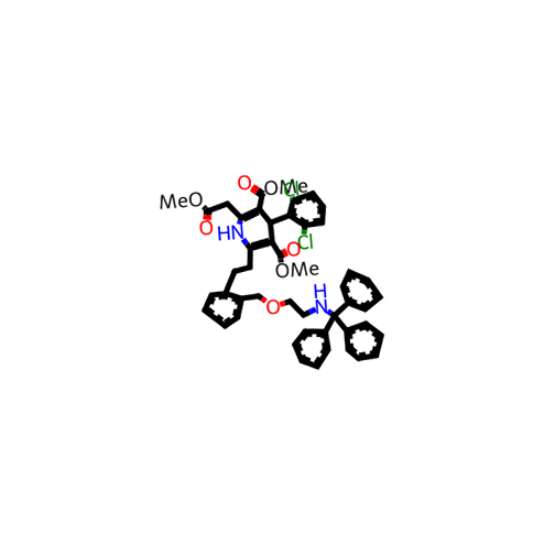 COC(=O)CC1=C(C(=O)OC)C(c2c(Cl)cccc2Cl)C(C(=O)OC)=C(CCc2ccccc2COCCNC(c2ccccc2)(c2ccccc2)c2ccccc2)N1